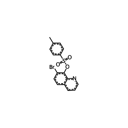 Cc1ccc(S(=O)(=O)Oc2c(Br)ccc3cccnc23)cc1